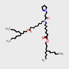 CCCCCC(CCCCC)CCCOC(=O)CCCCCCCN(CCCCCCCC(=O)OCCCC(CCCCC)CCCCC)C(=O)CCN1CCCC1